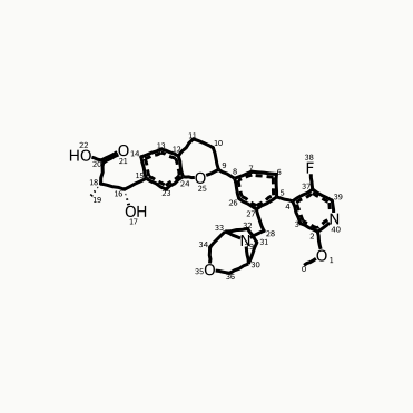 COc1cc(-c2ccc(C3CCc4ccc([C@H](O)[C@H](C)C(=O)O)cc4O3)cc2CN2C3CCC2COC3)c(F)cn1